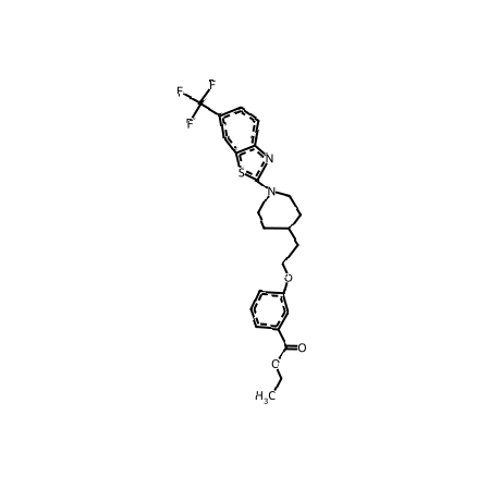 CCOC(=O)c1cccc(OCCC2CCN(c3nc4ccc(C(F)(F)F)cc4s3)CC2)c1